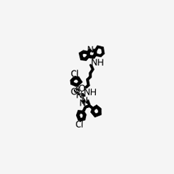 O=S(=O)(N=C(NCCCCCCCNc1c2c(nc3ccccc13)CCCC2)N1CC(c2ccccc2)C(c2ccc(Cl)cc2)=N1)c1ccc(Cl)cc1